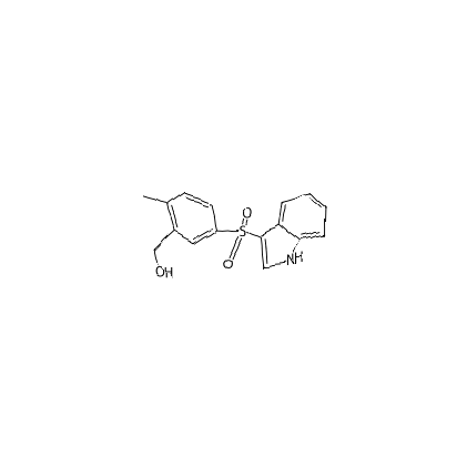 Cc1ccc(S(=O)(=O)c2c[nH]c3ccccc23)cc1CO